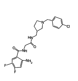 Nc1cc(F)c(F)cc1C(=O)NCC(=O)NCC1CCN(Cc2ccc(Cl)cc2)C1